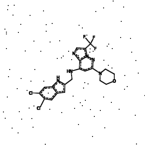 FC(F)(F)c1cnc2c(NCc3cc4cc(Cl)c(Cl)cc4[nH]3)cc(N3CCOCC3)nn12